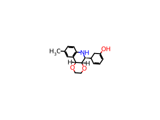 Cc1ccc2c(c1)[C@H]1OCCO[C@H]1[C@H](C1C=CC=C(O)C1)N2